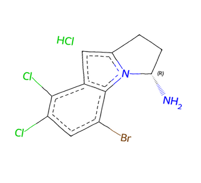 Cl.N[C@H]1CCc2cc3c(Cl)c(Cl)cc(Br)c3n21